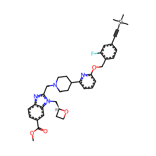 COC(=O)c1ccc2nc(CN3CCC(c4cccc(OCc5ccc(C#C[Si](C)(C)C)cc5F)n4)CC3)n(C[C@@H]3CCO3)c2c1